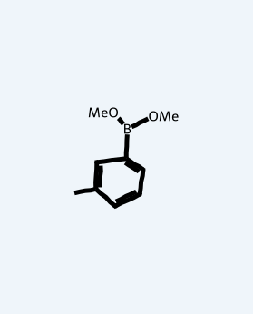 COB(OC)c1cccc(C)c1